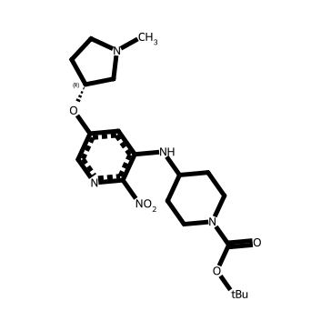 CN1CC[C@@H](Oc2cnc([N+](=O)[O-])c(NC3CCN(C(=O)OC(C)(C)C)CC3)c2)C1